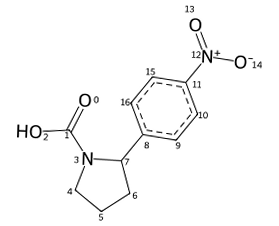 O=C(O)N1CCCC1c1ccc([N+](=O)[O-])cc1